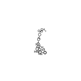 COC(=O)C1CCC(N2CCC(c3cnc(N4CCc5[nH]c6nnc(-c7ccccc7O)cc6c5[C@H]4C)nc3)CC2)CC1